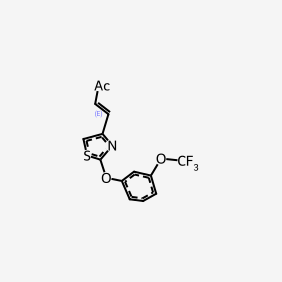 CC(=O)/C=C/c1csc(Oc2cccc(OC(F)(F)F)c2)n1